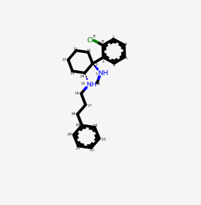 CN[C@]1(c2ccccc2Cl)CCCC[C@H]1NCCCc1ccccc1